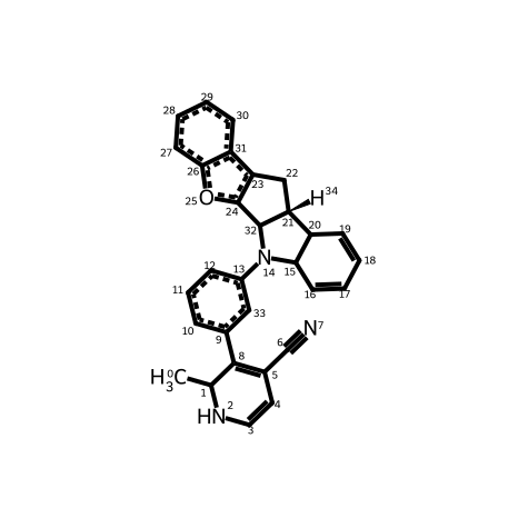 CC1NC=CC(C#N)=C1c1cccc(N2C3C=CC=CC3[C@H]3Cc4c(oc5ccccc45)C32)c1